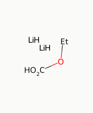 CCOC(=O)O.[LiH].[LiH]